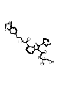 CC[C@@H](CO)NC(=O)c1c(-c2ccsc2)nc2c(C(=O)NCCc3ccc4ncsc4c3)cccn12